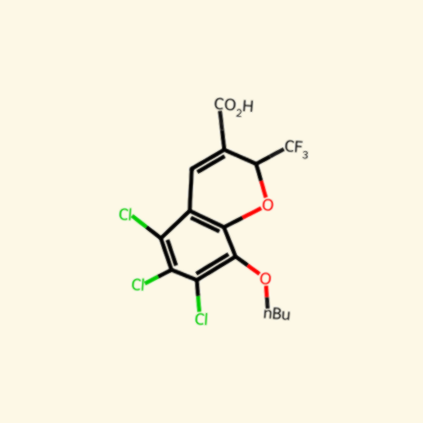 CCCCOc1c(Cl)c(Cl)c(Cl)c2c1OC(C(F)(F)F)C(C(=O)O)=C2